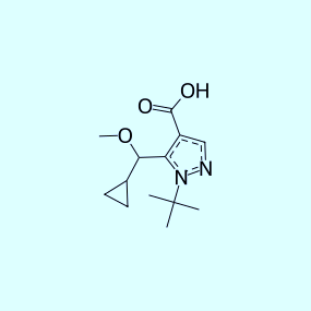 COC(c1c(C(=O)O)cnn1C(C)(C)C)C1CC1